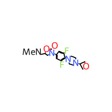 CNCC1CN(c2cc(F)c(N3CCN(C4COC4)CC3)c(F)c2)C(=O)O1